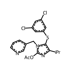 CC(=O)Oc1nc(C(C)C)c(Sc2cc(Cl)cc(Cl)c2)n1Cc1cccnc1